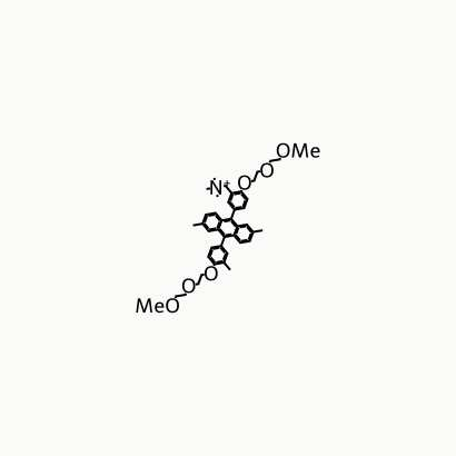 COCCOCCOc1ccc(-c2c3ccc(C)cc3c(-c3ccc(OCCOCCOC)c(C[N+](C)(C)C)c3)c3ccc(C)cc23)cc1C